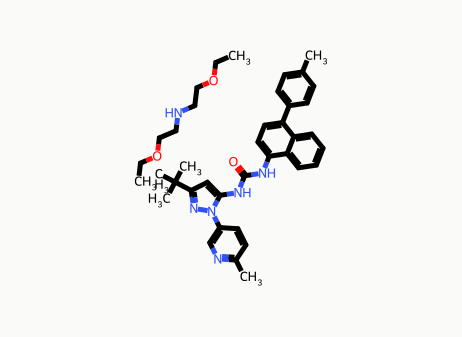 CCOCCNCCOCC.Cc1ccc(-c2ccc(NC(=O)Nc3cc(C(C)(C)C)nn3-c3ccc(C)nc3)c3ccccc23)cc1